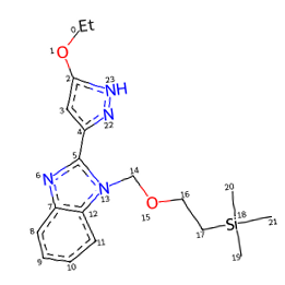 CCOc1cc(-c2nc3ccccc3n2COCC[Si](C)(C)C)n[nH]1